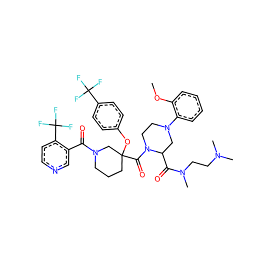 COc1ccccc1N1CCN(C(=O)C2(Oc3ccc(C(F)(F)F)cc3)CCCN(C(=O)c3cnccc3C(F)(F)F)C2)C(C(=O)N(C)CCN(C)C)C1